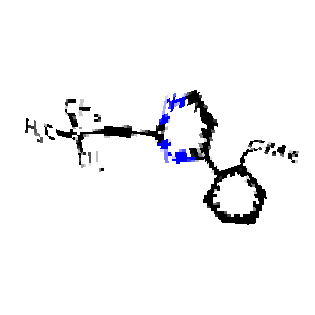 COc1ccccc1-c1ccnc(C#C[Si](C)(C)C)n1